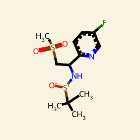 CC(C)(C)[S+]([O-])NC(CS(C)(=O)=O)c1ccc(F)cn1